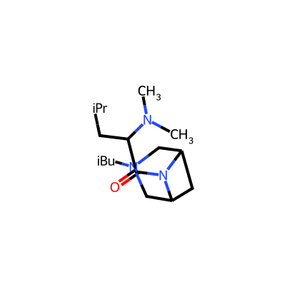 CCC(C)N1CC2CC(C1)N2C(=O)C(CC(C)C)N(C)C